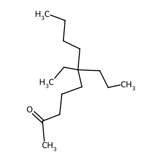 CCCCC(CC)(CCC)CCCC(C)=O